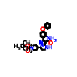 CC(C)(C)OC(=O)N1CC=C([C@@H]2CCNc3c(C(N)=O)c(-c4ccc(Oc5ccccc5)cc4)nn32)CC1